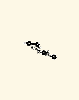 CCN(CCNc1ccc(C(=O)NSCc2ccccc2)cc1)C(=O)c1cncc(C#Cc2ccc(O)cc2)c1